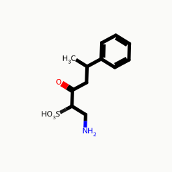 CC(CC(=O)C(CN)S(=O)(=O)O)c1ccccc1